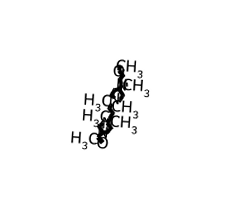 COCCN(C)C1CCN(C(C)(C)CCC(C)(C)N2CCN(C(C)=O)CC2)CC1